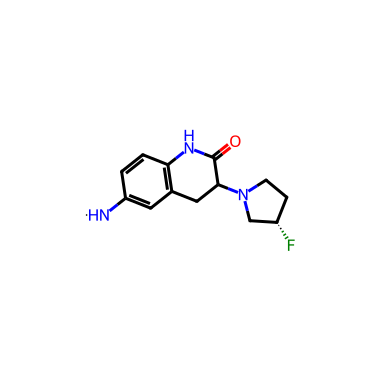 [NH]c1ccc2c(c1)CC(N1CC[C@H](F)C1)C(=O)N2